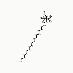 CCCCCCCCCCCCCC=CCCCCCCC(CCC)(P(=O)=O)[N+](C)(C)C